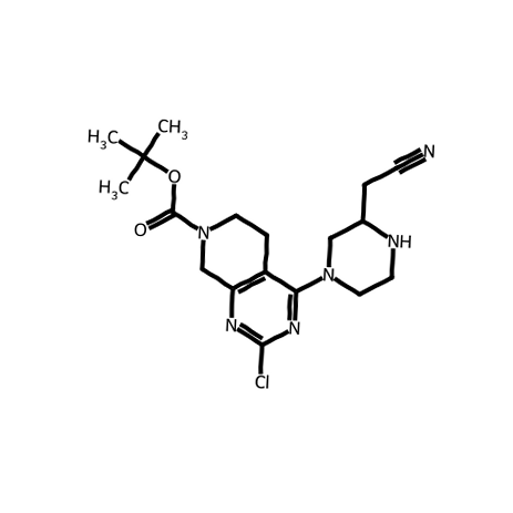 CC(C)(C)OC(=O)N1CCc2c(nc(Cl)nc2N2CCNC(CC#N)C2)C1